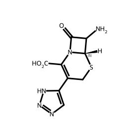 NC1C(=O)N2C(C(=O)O)=C(c3cnn[nH]3)CS[C@@H]12